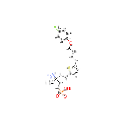 CC(N)(CCc1ccc(CCCCOc2ccc(F)cc2)s1)CCP(=O)(O)O